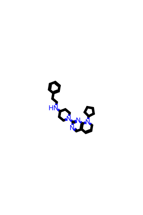 C1=Cc2cnc(N3CCC(NCCc4ccccc4)CC3)nc2N(C2CCCC2)C1